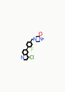 CN1CCN(Cc2ccc(-c3ccc4nccc(Cl)c4c3)c(F)c2)CC1=O